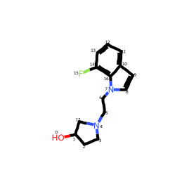 OC1CCN(CCn2ccc3cccc(F)c32)C1